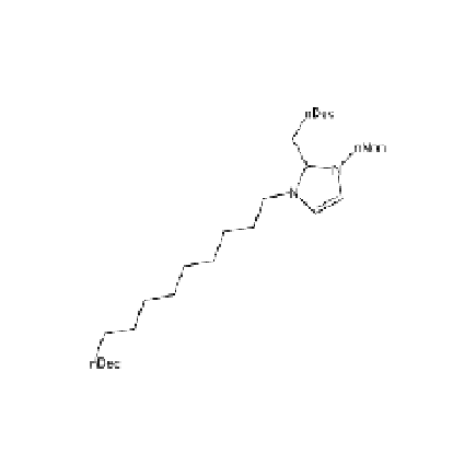 CCCCCCCCCCCCCCCCCCCN1C=CN(CCCCCCCCC)C1CCCCCCCCCCC